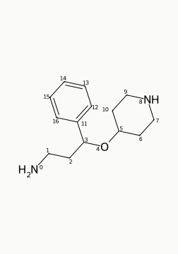 NCCC(OC1CCNCC1)c1ccccc1